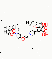 CC(C)Oc1cc(C(=O)O)c(C(=O)O)cc1C1CCN(C2CC(OC3CCN(C(=O)OC(C)(C)C)CC3)C2)CC1